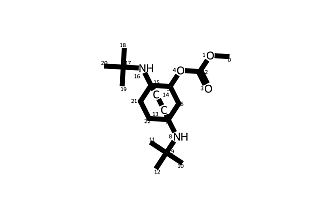 COC(=O)OC1CC2(NC(C)(C)C)CCC1(NC(C)(C)C)CC2